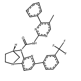 Cc1cnc(NC(=O)N2c3nc(-c4cccc(C(F)(F)F)c4)ccc3N3CC[C@H]2C3)nc1-c1ccccc1